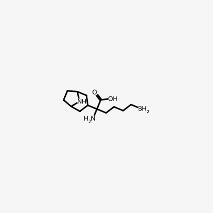 BCCCCC(N)(C(=O)O)C1CC2CCC(C1)N2